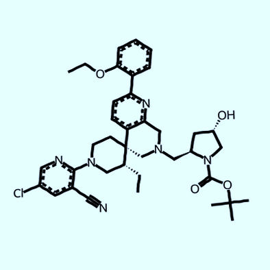 CCOc1ccccc1-c1ccc2c(n1)CN(C[C@H]1C[C@H](O)CN1C(=O)OC(C)(C)C)C[C@]21CCN(c2ncc(Cl)cc2C#N)C[C@H]1CC